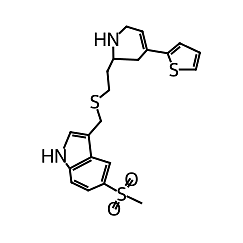 CS(=O)(=O)c1ccc2[nH]cc(CSCCC3CC(c4cccs4)=CCN3)c2c1